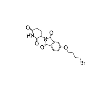 O=C1CCC(N2C(=O)c3ccc(OCCCCBr)cc3C2=O)C(=O)N1